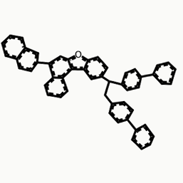 c1ccc(-c2ccc(CC(c3ccc(-c4ccccc4)cc3)c3ccc4oc5cc(-c6ccc7ccccc7c6)c6ccccc6c5c4c3)cc2)cc1